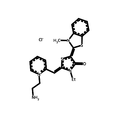 CCn1c(=O)c(=C2Sc3ccccc3N2C)s/c1=C\c1cccc[n+]1CCN.[Cl-]